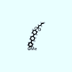 C=CCCC(=O)OC1CCC(C2CCC(c3ccc(OC)cc3)CC2)CC1